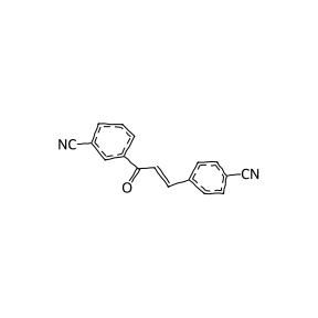 N#Cc1ccc(/C=C/C(=O)c2cccc(C#N)c2)cc1